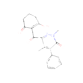 Cc1c(C(=O)C2=C(O)CCCC2=O)nn(C)c(=O)c1-c1ccccc1